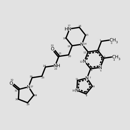 CCc1c(C)nc(-n2ccnc2)nc1N1CCNCC1CC(=O)NCCCN1CCCC1=O